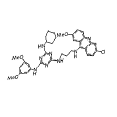 COc1cc(Nc2nc(NCCCNc3c4ccc(Cl)cc4nc4ccc(OC)cc34)nc(NC3CCCCC3)n2)cc(OC)c1